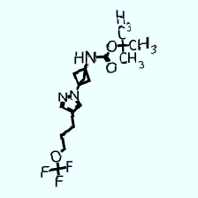 CC(C)(C)OC(=O)NC12CC(n3cc(CCCOC(F)(F)F)cn3)(C1)C2